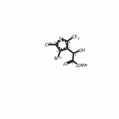 COC(=O)C(O)c1c(C(F)(F)F)sc(Cl)c1Br